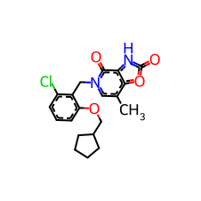 Cc1cn(Cc2c(Cl)cccc2OCC2CCCC2)c(=O)c2[nH]c(=O)oc12